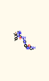 C=C1CCC(n2ncc3ccc(N4CCN(CCNC(=O)CC5N=C(c6ccc(C)cc6)c6c(sc(C)c6C)-n6c(C)nnc65)CC4)cc3c2=O)C(=C)N1